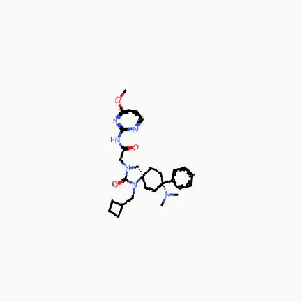 COc1ccnc(NC(=O)CN2C[C@]3(CC[C@@](c4ccccc4)(N(C)C)CC3)N(CC3CCC3)C2=O)n1